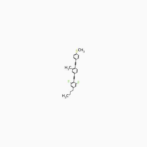 CCCCc1cc(F)c(C#Cc2ccc(C#Cc3ccc(SC)cc3)c(C)c2)c(F)c1